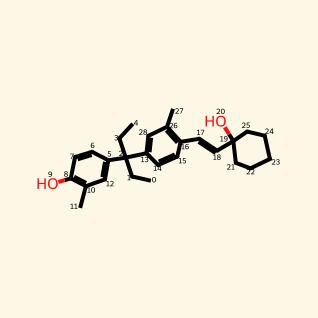 CCC(CC)(c1ccc(O)c(C)c1)c1ccc(C=CC2(O)CCCCC2)c(C)c1